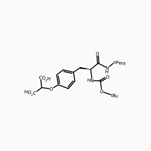 CCCCCNC(=O)[C@H](Cc1ccc(OC(C(=O)O)C(=O)O)cc1)NC(=O)OC(C)(C)C